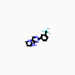 FC(F)(F)c1cccc(-c2ncc3c(n2)NC2CCN3C2)c1